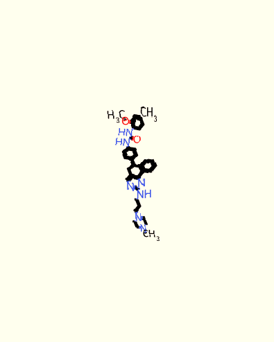 COc1cc(C)ccc1NC(=O)Nc1ccc(C2Cc3cnc(NCCCN4CCN(C)CC4)nc3-c3ccccc32)cc1